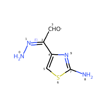 N/N=C(/[C]=O)c1csc(N)n1